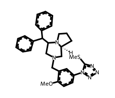 COc1ccc(-n2nnnc2SC)cc1CN1CC(C(c2ccccc2)c2ccccc2)N2CCC[C@H]2C1